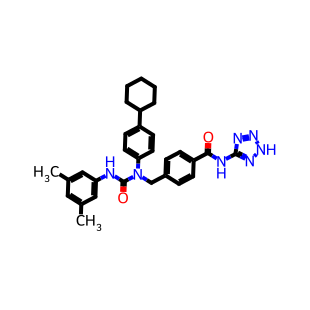 Cc1cc(C)cc(NC(=O)N(Cc2ccc(C(=O)Nc3nn[nH]n3)cc2)c2ccc(C3CCCCC3)cc2)c1